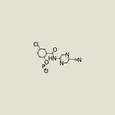 N#Cc1cnc(NC(=O)c2cc(Cl)ccc2OP=O)cn1